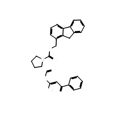 CC(=CC(=O)c1ccccc1)OC(=O)[C@@H]1CCCN1C(=O)OCc1cccc2c1Cc1ccccc1-2